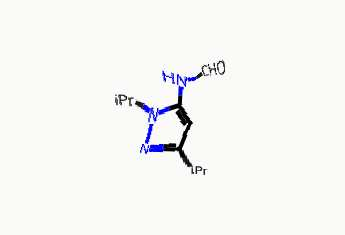 CC(C)c1cc(NC=O)n(C(C)C)n1